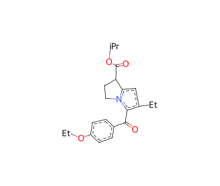 CCOc1ccc(C(=O)c2c(CC)cc3n2CCC3C(=O)OC(C)C)cc1